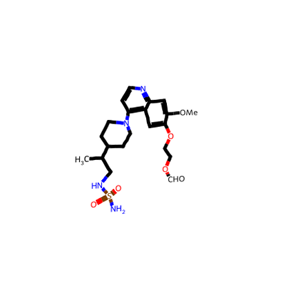 COc1cc2nccc(N3CCC(C(C)CNS(N)(=O)=O)CC3)c2cc1OCCOC=O